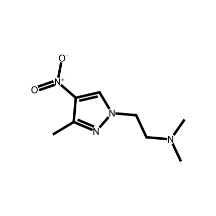 Cc1nn(CCN(C)C)cc1[N+](=O)[O-]